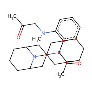 CC(=O)CN(C)c1ccccc1N(C(C)=O)C1CC2CCCC(C1)N2C1CC2CCCC(C2)C1